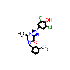 C=CCN(Cc1cccc(C(F)(F)F)c1)C(=O)c1ncn(-c2cc(Cl)c(O)c(Cl)c2)n1